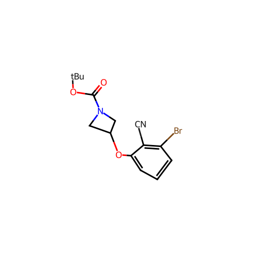 CC(C)(C)OC(=O)N1CC(Oc2cccc(Br)c2C#N)C1